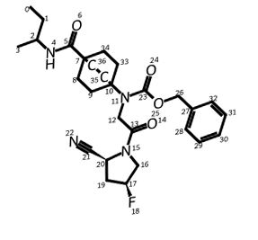 CCC(C)NC(=O)C12CCC(N(CC(=O)N3C[C@@H](F)C[C@H]3C#N)C(=O)OCc3ccccc3)(CC1)CC2